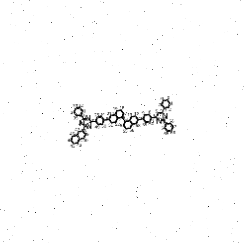 c1ccc(-c2cc(-c3ccc(-c4ccc5c(-c6cccc7cc(-c8ccc(-c9nc(-c%10ccccc%10)nc(-c%10ccc%11ccccc%11c%10)n9)cc8)ccc67)cccc5c4)cc3)nc(-c3ccccc3)n2)cc1